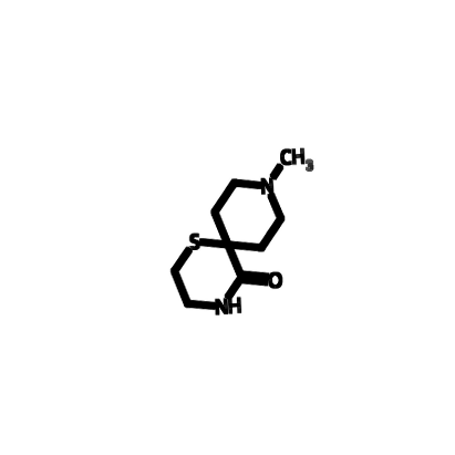 CN1CCC2(CC1)SCCNC2=O